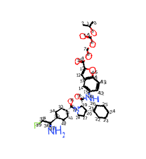 CC(C)OC(=O)OCOC(=O)c1cc2cc(NC(=O)[C@@H]3[C@H](C4CCCCC4)CCN3C(=O)[C@H]3CC[C@H](C(N)CF)CC3)ccc2o1